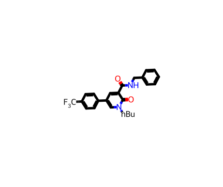 CCCCn1cc(-c2ccc(C(F)(F)F)cc2)cc(C(=O)NCc2ccccc2)c1=O